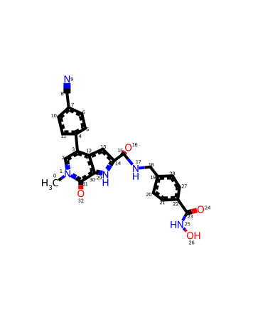 Cn1cc(-c2ccc(C#N)cc2)c2cc(C(=O)NCc3ccc(C(=O)NO)cc3)[nH]c2c1=O